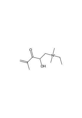 C=C(C)C(=O)C(O)C[N+](C)(C)CC